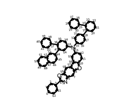 c1ccc(-c2nc3cc4oc5ccc(N(c6ccc(-c7ccccc7-c7ccccc7)cc6)c6ccc(-c7ccccc7)c(-c7ccc8ccccc8c7)c6)cc5c4cc3o2)cc1